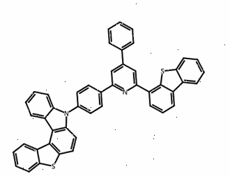 c1ccc(-c2cc(-c3ccc(-n4c5ccccc5c5c6c(ccc54)sc4ccccc46)cc3)nc(-c3cccc4c3sc3ccccc34)c2)cc1